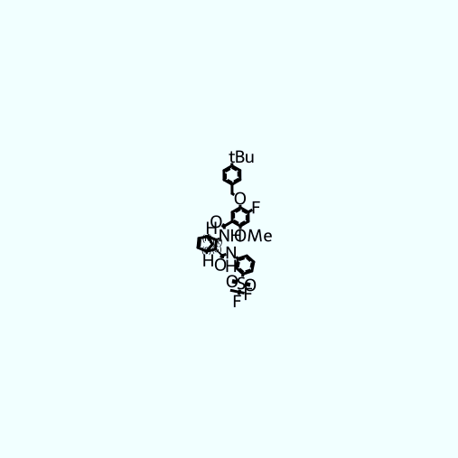 COc1cc(F)c(OCc2ccc(C(C)(C)C)cc2)cc1C(=O)N[C@H]1[C@@H](C(=O)Nc2cccc(S(=O)(=O)C(C)(F)F)c2)[C@@H]2C=C[C@H]1C2